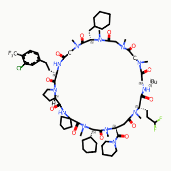 CC[C@H](C)[C@@H]1NC(=O)[C@H](CCC(F)F)N(C)C(=O)C[C@@H](C(=O)N2CCCCC2)N(C)C(=O)[C@H](C2CCCCC2)N(C)C(=O)C2(CCCC2)NC(=O)[C@@H]2CCCN2C(=O)[C@H](CCc2ccc(C(F)(F)F)c(Cl)c2)NC(=O)CN(C)C(=O)[C@H](CC2CCCCC2)N(C)C(=O)CN(C)C(=O)CN(C)C1=O